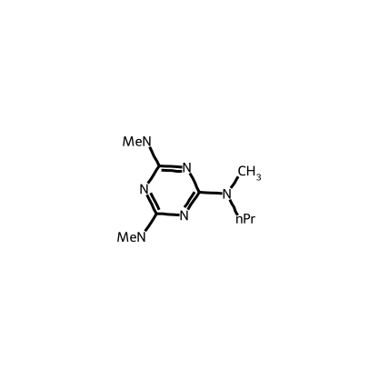 CCCN(C)c1nc(NC)nc(NC)n1